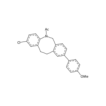 COc1ccc(-c2ccc3c(c2)CCc2cc(Cl)ccc2N(C(C)=O)C3)cc1